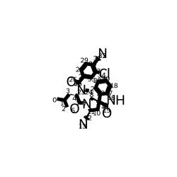 CC(C)C[C@@H](C(=O)N1C[C@]2(C[C@H]1C#N)C(=O)Nc1ccccc12)N(C)C(=O)c1ccc(C#N)c(Cl)c1